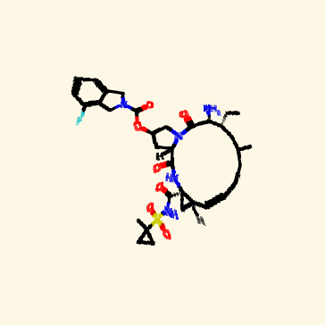 CC[C@@H]1CC(C)CC/C=C\[C@@H]2C[C@@]2(C(=O)NS(=O)(=O)C2(C)CC2)NC(=O)[C@@H]2C[C@@H](OC(=O)N3Cc4cccc(F)c4C3)CN2C(=O)[C@H]1N